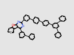 c1ccc(-c2cc(-c3ccccc3)cc(-c3ccc(-c4ccc(-c5cccc(-c6nc(-c7cccc(-c8ccccc8)c7)c7c(n6)oc6ccccc67)c5)cc4)cc3)c2)cc1